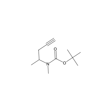 C#CCC(C)N(C)C(=O)OC(C)(C)C